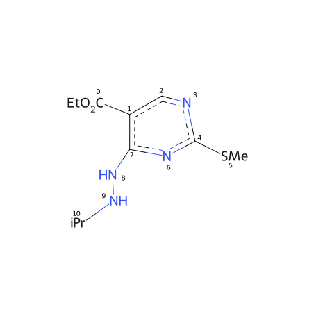 CCOC(=O)c1cnc(SC)nc1NNC(C)C